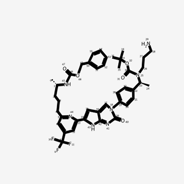 C[C@@H](CCCc1cc(C(F)(F)F)cc(-c2cc3cn(-c4ccc([C@H](C)N(CCCN)C(=O)OC(C)(C)C)cc4)c(=O)nc3[nH]2)n1)NC(=O)OCc1ccccc1